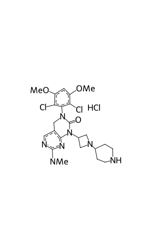 CNc1ncc2c(n1)N(C1CN(C3CCNCC3)C1)C(=O)N(c1c(Cl)c(OC)cc(OC)c1Cl)C2.Cl